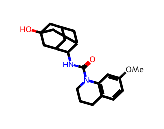 COc1ccc2c(c1)N(C(=O)NC1C3CC4CC1CC(O)(C4)C3)CCC2